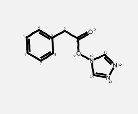 O=C(Cc1ccccc1)On1cnnc1